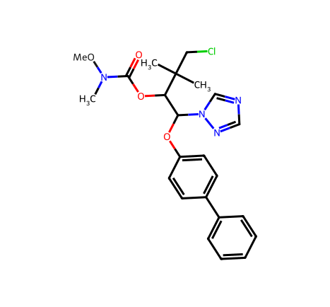 CON(C)C(=O)OC(C(Oc1ccc(-c2ccccc2)cc1)n1cncn1)C(C)(C)CCl